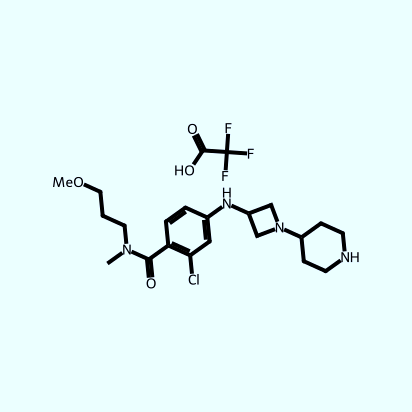 COCCCN(C)C(=O)c1ccc(NC2CN(C3CCNCC3)C2)cc1Cl.O=C(O)C(F)(F)F